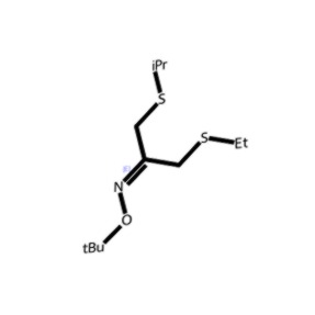 CCSC/C(CSC(C)C)=N\OC(C)(C)C